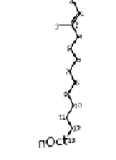 C/C=C(\C)CCCCCCCCCCCCCCCCC